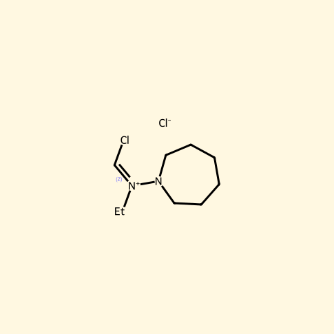 CC/[N+](=C/Cl)N1CCCCCC1.[Cl-]